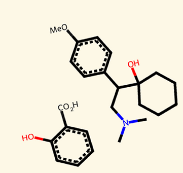 COc1ccc(C(CN(C)C)C2(O)CCCCC2)cc1.O=C(O)c1ccccc1O